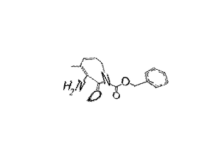 CC1=C(N)C(=O)N(C(=O)OCc2ccccc2)CC=C1